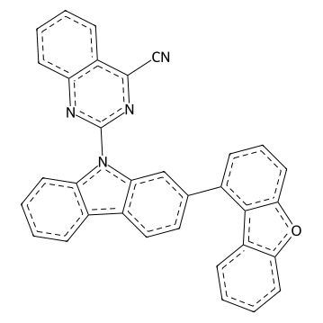 N#Cc1nc(-n2c3ccccc3c3ccc(-c4cccc5oc6ccccc6c45)cc32)nc2ccccc12